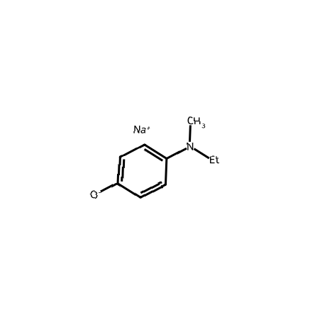 CCN(C)c1ccc([O-])cc1.[Na+]